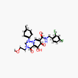 COCCN1CN(c2ccc(C)cc2)n2cc(C(=O)NCc3ccc(F)cc3F)c(=O)c(O)c2C1=O